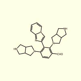 O=Cc1ccc(N2CC3CNCC3C2)c(-c2cn3ccccc3n2)c1N1CC2CNCC2C1